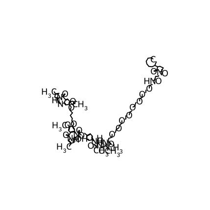 COc1cc2c(cc1OCCCCCOc1cc3c(cc1OC)C(=O)N1C=C(C)C[C@H]1[C@H](O)N3C(=O)OCc1ccc(NC(=O)[C@H](C)NC(=O)[C@@H](NC(=O)CCOCCOCCOCCOCCOCCOCCOCCOCCNC(=O)CCN3C(=O)CCC(C4CCCCCCCC4)C3=O)C(C)C)cc1)N=C[C@@H]1CC(C)=CN1C2=O